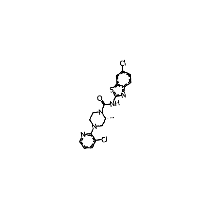 C[C@@H]1CN(c2ncccc2Cl)CCN1C(=O)Nc1nc2ccc(Cl)cc2s1